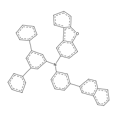 c1ccc(-c2cc(-c3ccccc3)cc(N(c3cccc(-c4ccc5ccccc5c4)c3)c3ccc4oc5ccccc5c4c3)c2)cc1